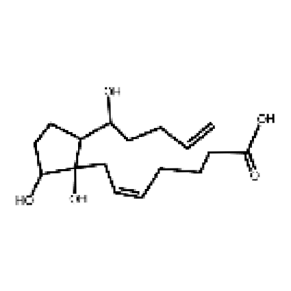 C=CCCC(O)C1CCC(O)C1(O)C/C=C\CCCC(=O)O